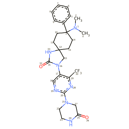 CN(C)C1(c2ccccc2)CCC2(CC1)CN(c1cnc(N3CCNC(=O)C3)nc1C(F)(F)F)C(=O)N2